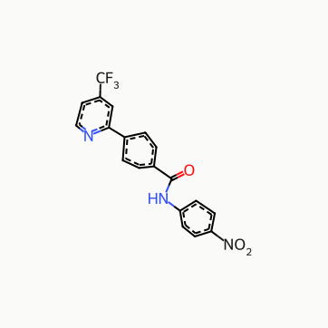 O=C(Nc1ccc([N+](=O)[O-])cc1)c1ccc(-c2cc(C(F)(F)F)ccn2)cc1